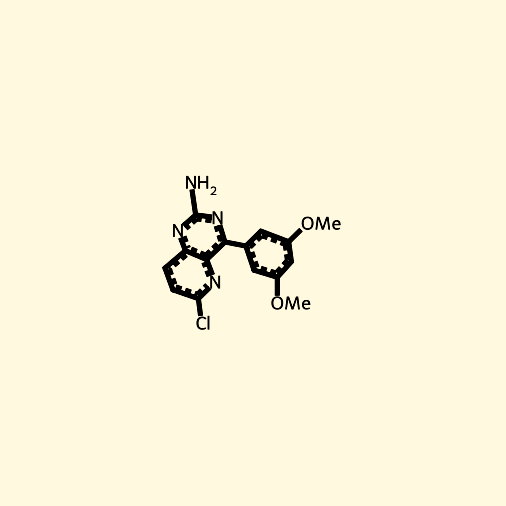 COc1cc(OC)cc(-c2nc(N)nc3ccc(Cl)nc23)c1